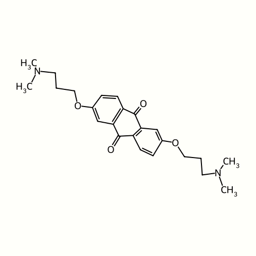 CN(C)CCCOc1ccc2c(c1)C(=O)c1ccc(OCCCN(C)C)cc1C2=O